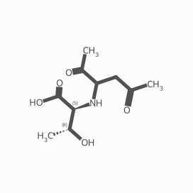 CC(=O)CC(N[C@H](C(=O)O)[C@@H](C)O)C(C)=O